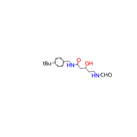 CC(C)(C)c1ccc(CNC(=O)CC(O)CCNC=O)cc1